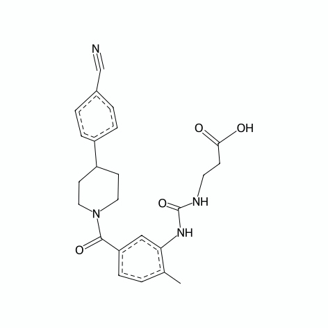 Cc1ccc(C(=O)N2CCC(c3ccc(C#N)cc3)CC2)cc1NC(=O)NCCC(=O)O